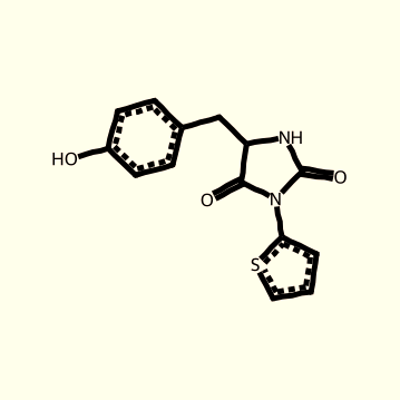 O=C1NC(Cc2ccc(O)cc2)C(=O)N1c1cccs1